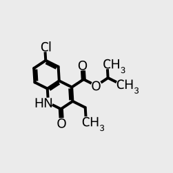 CCc1c(C(=O)OC(C)C)c2cc(Cl)ccc2[nH]c1=O